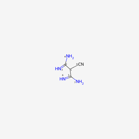 N#CC(C(=N)N)C(=N)N